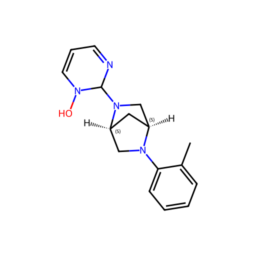 Cc1ccccc1N1C[C@@H]2C[C@H]1CN2C1N=CC=CN1O